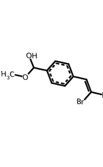 COC(O)c1ccc(C=C(Br)Br)cc1